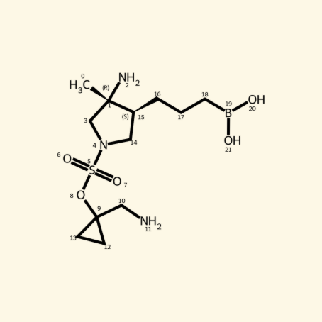 C[C@]1(N)CN(S(=O)(=O)OC2(CN)CC2)C[C@@H]1CCCB(O)O